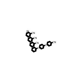 N#Cc1ccccc1.N#Cc1ccccc1.N#Cc1ccccc1.N#Cc1ccccc1.N#Cc1ccccc1.N#Cc1ccccc1.[W]